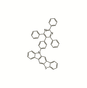 c1ccc(-c2nc(-c3ccccc3)c(-c3ccc(-n4c5ccccc5c5cc6sc7ccccc7c6cc54)cc3)c(-c3ccccc3)n2)cc1